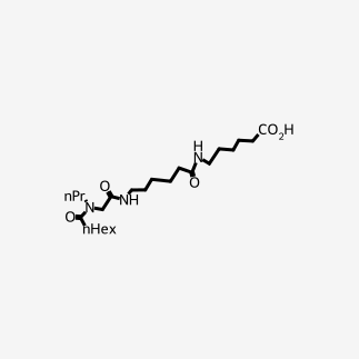 CCCCCCC(=O)N(CCC)CC(=O)NCCCCCC(=O)NCCCCCC(=O)O